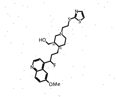 COc1ccc2nccc(C(F)CC[C@@H]3CCN(CCSc4nccs4)C[C@@H]3CO)c2c1